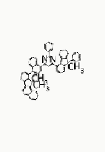 CC1(C)c2c(cccc2-c2ccc(-c3cc(-c4cccc5c4-c4ccccc4C5(C)c4ccccc4)nc(-c4ccccc4)n3)c3ccccc23)-c2ccc3ccccc3c21